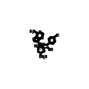 Nc1ncnc2c1ncn2[C@@H]1O[C@@]2(CO)CN(C(=O)O)C[C@@H]1[C@@H]2OCc1ccc(Cl)cc1